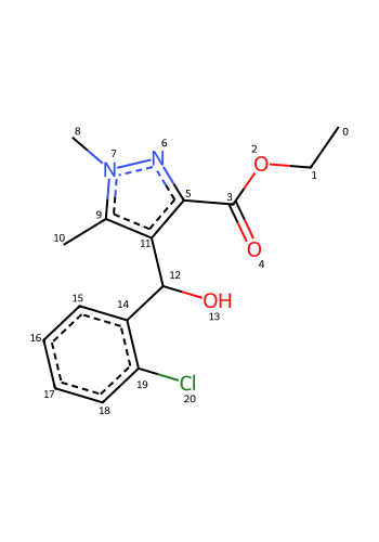 CCOC(=O)c1nn(C)c(C)c1C(O)c1ccccc1Cl